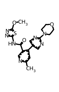 COc1nnc(NC(=O)c2cnc(C)cc2-c2cnc(N3CCOCC3)nc2)s1